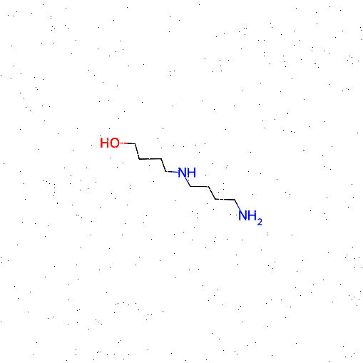 NCCCCNCCCCO